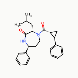 CC(C)C[C@H]1C(=O)N[C@H](c2ccccc2)CCN1C(=O)[C@@H]1C[C@H]1c1ccccc1